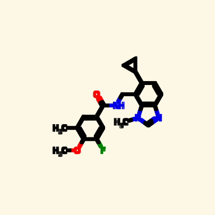 COc1c(C)cc(C(=O)NCc2c(C3CC3)ccc3ncn(C)c23)cc1F